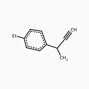 C#CC(C)c1ccc(CC)cc1